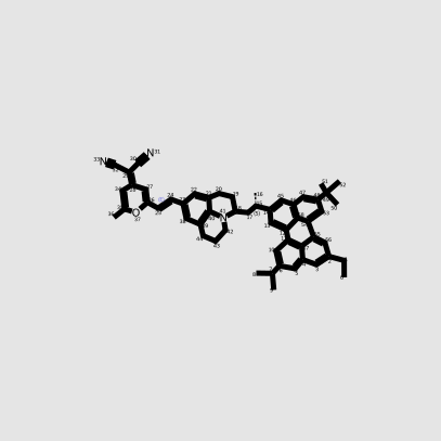 CCc1cc2cc(C(C)C)cc3c4cc([C@@H](C)CC5CCc6cc(/C=C/C7=CC(=C(C#N)C#N)C=C(C)O7)cc7c6N5CCC7)cc5cc(C(C)(C)C)cc(c(c1)c23)c54